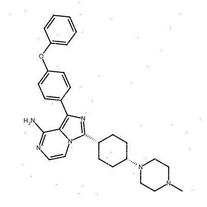 CN1CCN([C@H]2CC[C@@H](c3nc(-c4ccc(Oc5ccccc5)cc4)c4c(N)nccn43)CC2)CC1